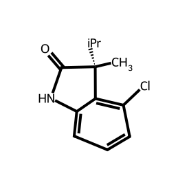 CC(C)[C@@]1(C)C(=O)Nc2cccc(Cl)c21